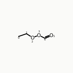 CCOO[C]=O